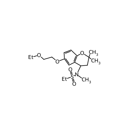 CCOCCOc1ccc2c(c1)C(N(C)S(=O)(=O)CC)CC(C)(C)O2